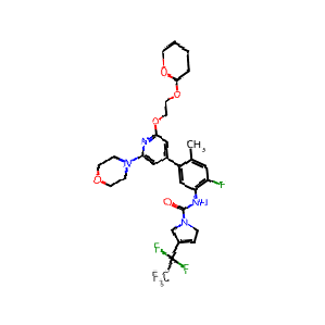 Cc1cc(F)c(NC(=O)N2CC=C(C(F)(F)C(F)(F)F)C2)cc1-c1cc(OCCOC2CCCCO2)nc(N2CCOCC2)c1